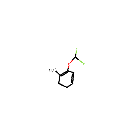 CC1=C(OC(F)F)C=CCC1